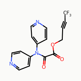 O=C(OCC#CC(F)(F)F)C(=O)N(c1ccncc1)c1ccncc1